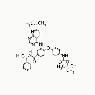 CC(C)c1ccc2c(Nc3cc(C(=O)N[C@@H](C)c4ccccc4)ccc3Oc3ccc(NC(=O)OC(C)(C)C)cc3)ncnc2n1